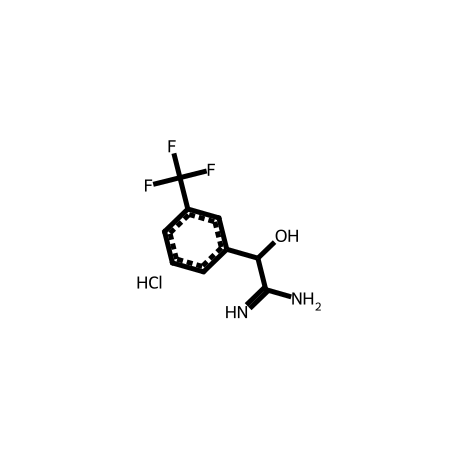 Cl.N=C(N)C(O)c1cccc(C(F)(F)F)c1